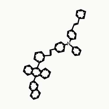 C(=C\c1ccc(N(c2ccccc2)c2ccc(/C=C/c3cccc(-c4c5ccccc5c(-c5ccc6ccccc6c5)c5ccccc45)c3)cc2)cc1)/c1ccccc1